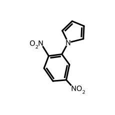 O=[N+]([O-])c1ccc([N+](=O)[O-])c(-n2cccc2)c1